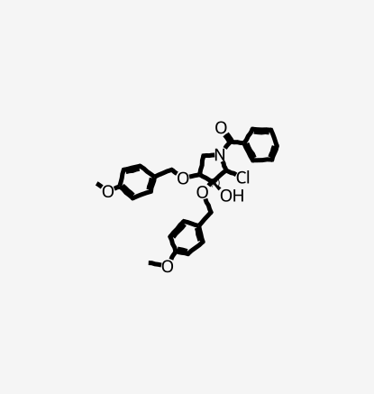 COc1ccc(COC2CN(C(=O)c3ccccc3)C(Cl)[C@]2(O)OCc2ccc(OC)cc2)cc1